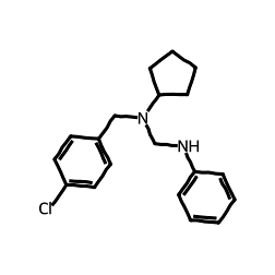 Clc1ccc(CN(CNc2ccccc2)C2CCCC2)cc1